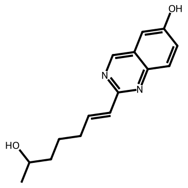 CC(O)CCC/C=C/c1ncc2cc(O)ccc2n1